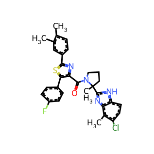 Cc1ccc(-c2nc(C(=O)N3CCCC3(C)c3nc4c(C)c(Cl)ccc4[nH]3)c(-c3ccc(F)cc3)s2)cc1C